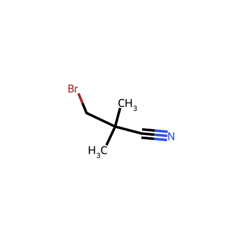 CC(C)(C#N)CBr